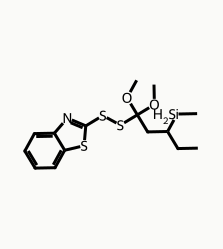 CCC(CC(OC)(OC)SSc1nc2ccccc2s1)[SiH2]C